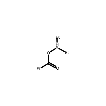 CCC(=O)O[SH](CC)CC